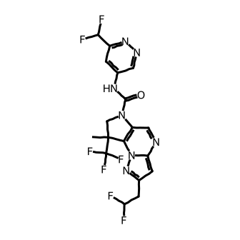 CC1(C(F)(F)F)CN(C(=O)Nc2cnnc(C(F)F)c2)c2cnc3cc(CC(F)F)nn3c21